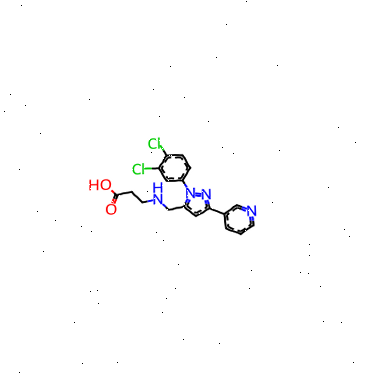 O=C(O)CCNCc1cc(-c2cccnc2)nn1-c1ccc(Cl)c(Cl)c1